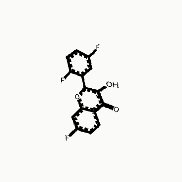 O=c1c(O)c(-c2cc(F)ccc2F)oc2cc(F)ccc12